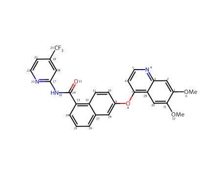 COc1cc2nccc(Oc3ccc4c(C(=O)Nc5cc(C(F)(F)F)ccn5)cccc4c3)c2cc1OC